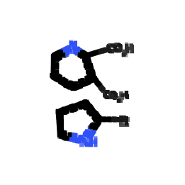 CCc1ccc[nH]1.O=C(O)c1cccnc1C(=O)O